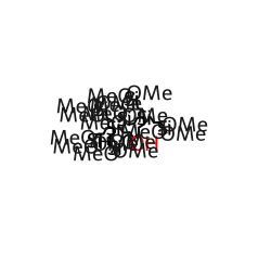 CO[Si](CCC[Si](CCCC(C)(O)CCC[Si](CCC[Si](OC)(OC)OC)(CCC[Si](OC)(OC)OC)CCC[Si](OC)(OC)OC)(CCC[Si](OC)(OC)OC)CCC[Si](OC)(OC)OC)(OC)OC